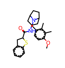 COc1ccc(CN2C3CCC2CC(NC(=O)C2Cc4ccccc4S2)C3)c(C)c1C